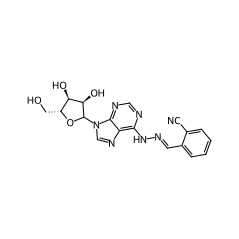 N#Cc1ccccc1C=NNc1ncnc2c1ncn2C1O[C@H](CO)[C@@H](O)[C@H]1O